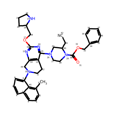 Cc1cccc2cccc(N3CCc4c(nc(OCC5CCCN5)nc4N4CCN(C(=O)OCc5ccccc5)C(CC#N)C4)C3)c12